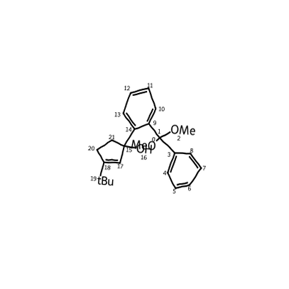 COC(OC)(c1ccccc1)c1ccccc1C1(O)C=C(C(C)(C)C)CC1